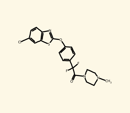 CN1CCN(C(=O)C(F)(F)c2ccc(Oc3nc4ccc(Cl)cc4s3)cc2)CC1